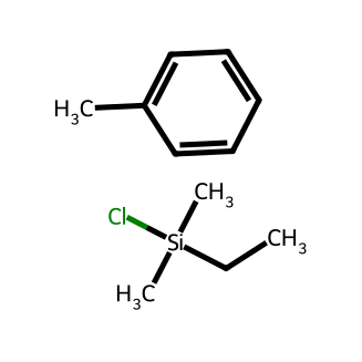 CC[Si](C)(C)Cl.Cc1ccccc1